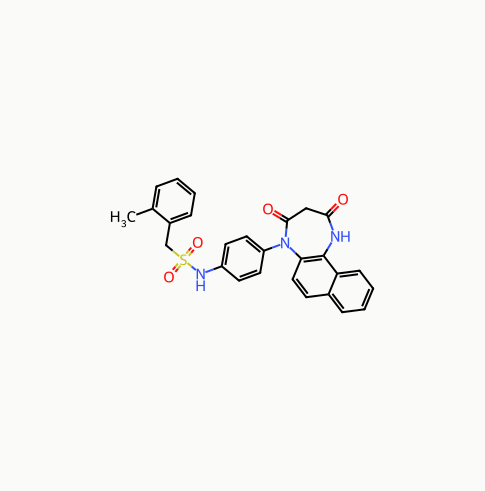 Cc1ccccc1CS(=O)(=O)Nc1ccc(N2C(=O)CC(=O)Nc3c2ccc2ccccc32)cc1